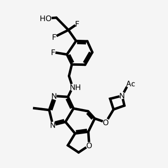 CC(=O)N1CC(Oc2cc3c(NCc4cccc(C(F)(F)CO)c4F)nc(C)nc3c3c2OCC3)C1